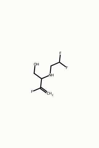 C=C(F)C(CO)NCC(F)F